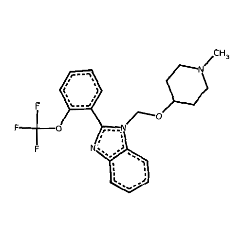 CN1CCC(OCn2c(-c3ccccc3OC(F)(F)F)nc3ccccc32)CC1